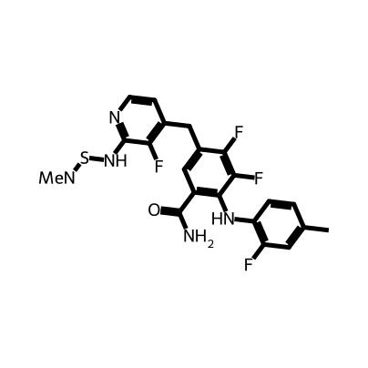 CNSNc1nccc(Cc2cc(C(N)=O)c(Nc3ccc(C)cc3F)c(F)c2F)c1F